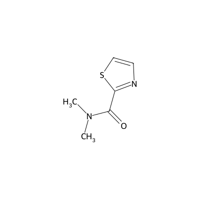 CN(C)C(=O)c1nccs1